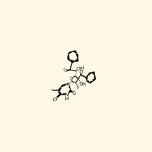 Cc1cn([C@@H]2O[C@H](C(O)C(=O)c3ccccc3)[C@](O)(C(=O)c3ccccc3)[C@H]2F)c(=O)[nH]c1=O